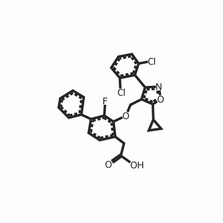 O=C(O)Cc1ccc(-c2ccccc2)c(F)c1OCc1c(-c2c(Cl)cccc2Cl)noc1C1CC1